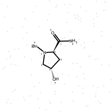 CCC(C)N1C[C@@H](O)C[C@@H]1C(N)=O